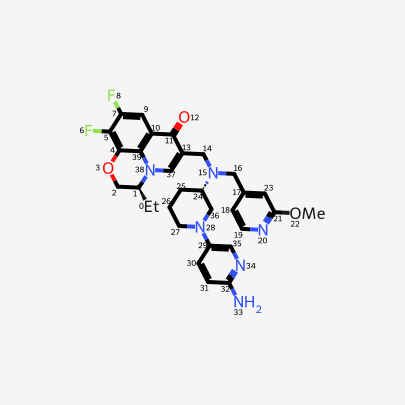 CC[C@H]1COc2c(F)c(F)cc3c(=O)c(CN(Cc4ccnc(OC)c4)[C@H]4CCCN(c5ccc(N)nc5)C4)cn1c23